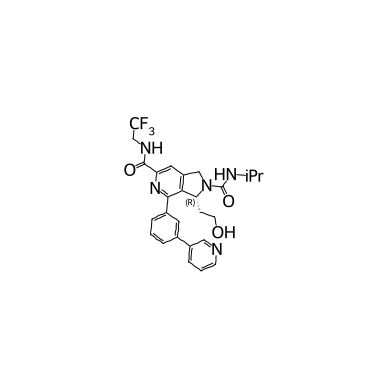 CC(C)NC(=O)N1Cc2cc(C(=O)NCC(F)(F)F)nc(-c3cccc(-c4cccnc4)c3)c2[C@H]1CCO